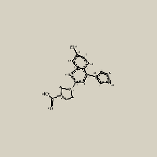 O=C(O)C1CCN(c2cc(-n3ccnc3)c3ccc(Cl)cc3n2)C1